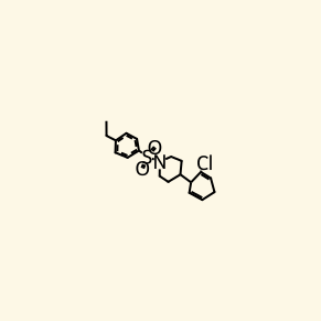 CCc1ccc(S(=O)(=O)N2CCC(C3C=CCC=C3Cl)CC2)cc1